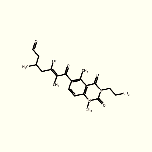 CCCn1c(=O)c2c(C)c(C(=O)/C(C)=C(\O)CC(C)CC=O)ccc2n(C)c1=O